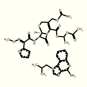 CC(C)Cn1cnc2c(N)nc3ccccc3c21.CO/N=C(/C(=O)N[C@@H]1C(=O)N2C(C(=O)OC(C)OC(C)=O)=C(COC(N)=O)CS[C@H]12)c1ccco1